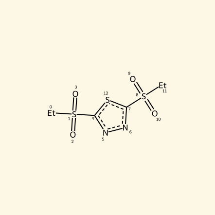 CCS(=O)(=O)c1nnc(S(=O)(=O)CC)s1